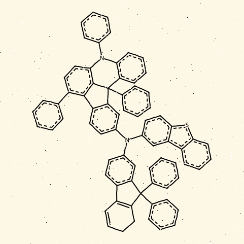 C1=CC2=C(CC1)C(c1ccccc1)(c1ccccc1)c1cc(N(c3ccc4c(c3)C3(c5ccccc5)c5ccccc5N(c5ccccc5)c5ccc(-c6ccccc6)c-4c53)c3ccc4sc5ccccc5c4c3)ccc12